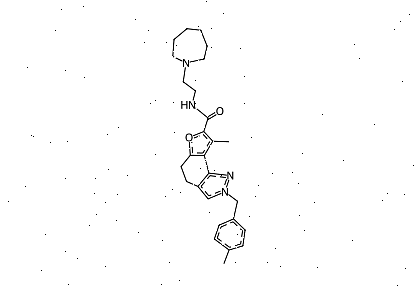 Cc1ccc(Cn2cc3c(n2)-c2c(oc(C(=O)NCCN4CCCCCC4)c2C)CC3)cc1